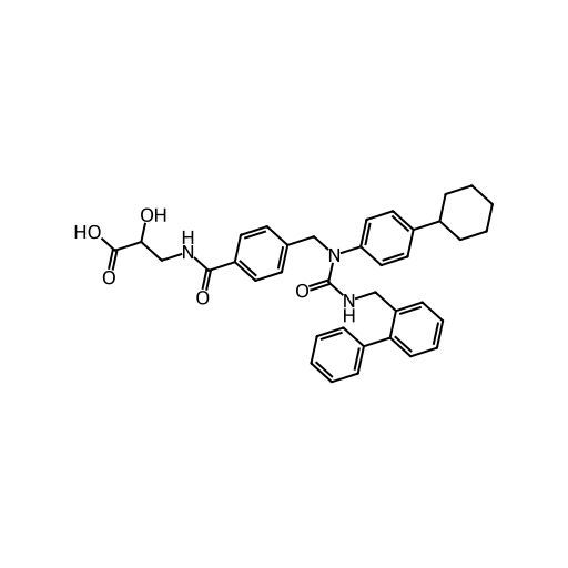 O=C(NCC(O)C(=O)O)c1ccc(CN(C(=O)NCc2ccccc2-c2ccccc2)c2ccc(C3CCCCC3)cc2)cc1